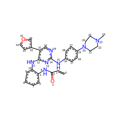 C=CC(=O)Nc1ccccc1Nc1nc(Nc2ccc(N3CCN(C)CC3)cc2)ncc1-c1ccoc1